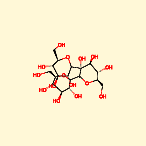 OC[C@H]1O[C](C2O[C@H](CO)[C@@H](O)[C@H](O)[C@H]2O)[C@@](O)(C2O[C@H](CO)[C@@H](O)[C@H](O)[C@H]2O)[C@@H](O)[C@@H]1O